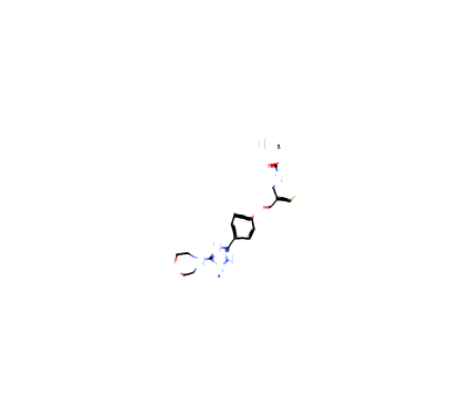 Cn1nc(-c2ccc(OC/C(=C/F)CNC(=O)OC(C)(C)C)cc2)nc1N1CCOCC1